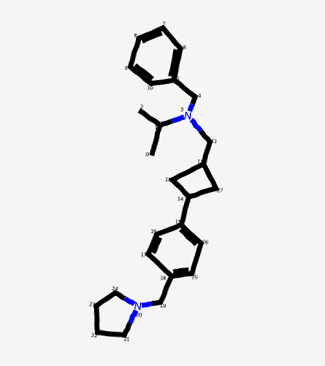 CC(C)N(Cc1ccccc1)CC1CC(c2ccc(CN3CCCC3)cc2)C1